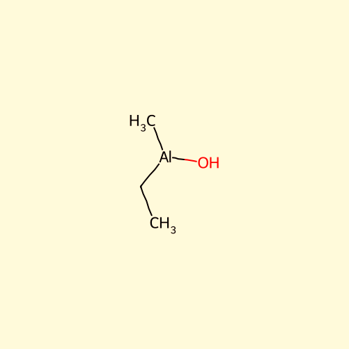 C[CH2][Al]([CH3])[OH]